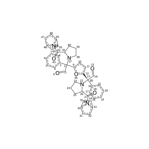 O=[C]C(c1ccccc1)(c1ccc([C@@]([C]=O)(c2ccccc2)N2CCC[C]2C(=O)n2c3ccc2cc3)o1)N1CCC[C]1C(=O)n1c2ccc1cc2